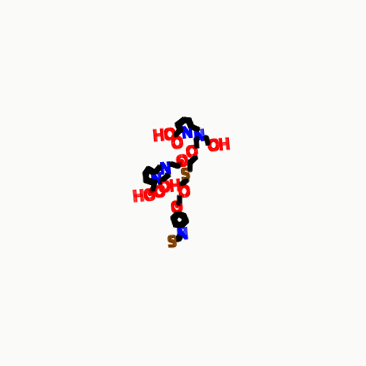 O=C(O)c1cccc(CN(CCO)CCOCC(CSCCOCCOc2ccc(N=C=S)cc2)OCCN(CCO)Cc2cccc(C(=O)O)n2)n1